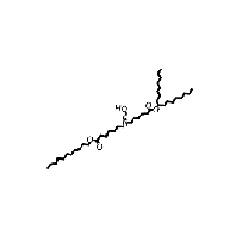 CCCCCCCCCCCOC(=O)CCCCCCN(CCO)CCCCCC(=O)OC(CCCCCCCC)CCCCCCCC